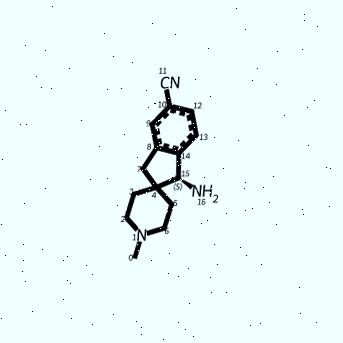 CN1CCC2(CC1)Cc1cc(C#N)ccc1[C@H]2N